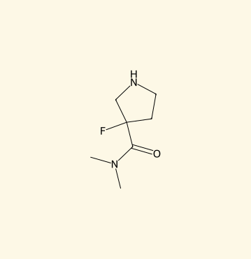 CN(C)C(=O)C1(F)CCNC1